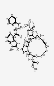 CC(C)n1c(O[C@@H]2C[C@H]3C(=O)N[C@]4(C(=O)NS(=O)(=O)N(C)C)C[C@H]4/C=C\CCCCC[C@H](NC(=O)OC(C)(C)C)C(=O)N3C2)nc2c(C(=O)NCCc3ccccc3)cccc21